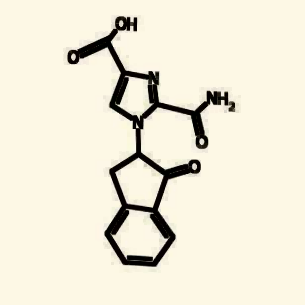 NC(=O)c1nc(C(=O)O)cn1C1Cc2ccccc2C1=O